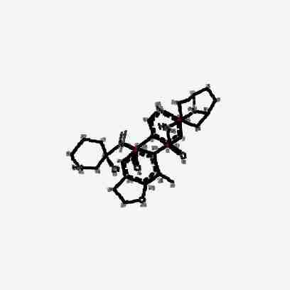 CC[C@]1(NC(=O)c2ccc(N3C4CCC3CC(NC(=O)c3ccc5c(c3C)OCC5)C4)nc2)CCCNC1